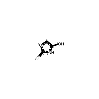 O=c1[nH]c(O)co1